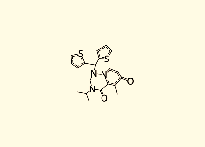 Cc1c2n(ccc1=O)N(C(c1cccs1)c1cccs1)CN(C(C)C)C2=O